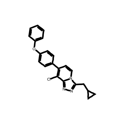 Clc1c(-c2ccc(Oc3ccccc3)cc2)ccn2c(CC3CC3)nnc12